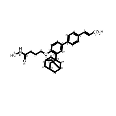 O=C(O)C=Cc1ccc(-c2ccc(OCCCC(=O)NO)c(C34CC5CC(CC(C5)C3)C4)c2)cc1